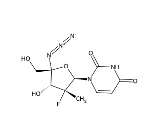 C[C@]1(F)[C@H](n2ccc(=O)[nH]c2=O)O[C@@](CO)(N=[N+]=[N-])[C@H]1O